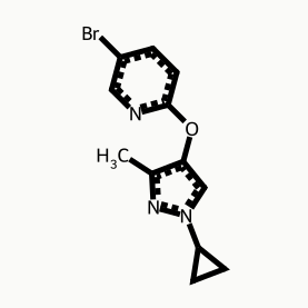 Cc1nn(C2CC2)cc1Oc1ccc(Br)cn1